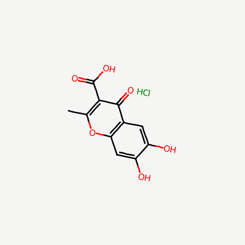 Cc1oc2cc(O)c(O)cc2c(=O)c1C(=O)O.Cl